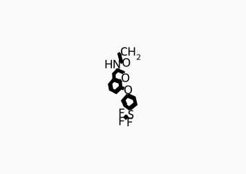 C=CC(=O)NC1COc2c(cccc2Oc2ccc(SC(F)(F)F)cc2)C1